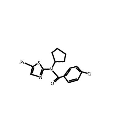 CC(C)c1cnc(N(C(=O)c2ccc(Cl)cc2)C2CCCC2)s1